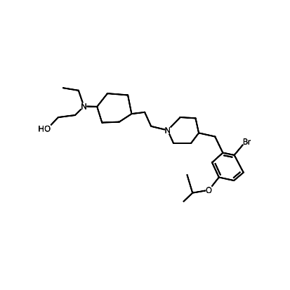 CCN(CCO)C1CCC(CCN2CCC(Cc3cc(OC(C)C)ccc3Br)CC2)CC1